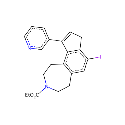 CCOC(=O)N1CCc2cc(I)c3c(c2CC1)C(c1cccnc1)=CC3